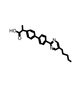 CCCCCc1cnc(-c2ccc(-c3ccc(C(C)C(=O)O)cc3)cc2)nc1